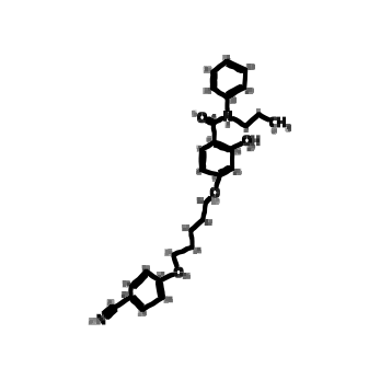 CCCN(C(=O)c1ccc(OCCCCCOc2ccc(C#N)cc2)cc1O)c1ccccc1